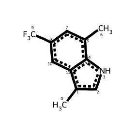 Cc1c[nH]c2c(C)cc(C(F)(F)F)cc12